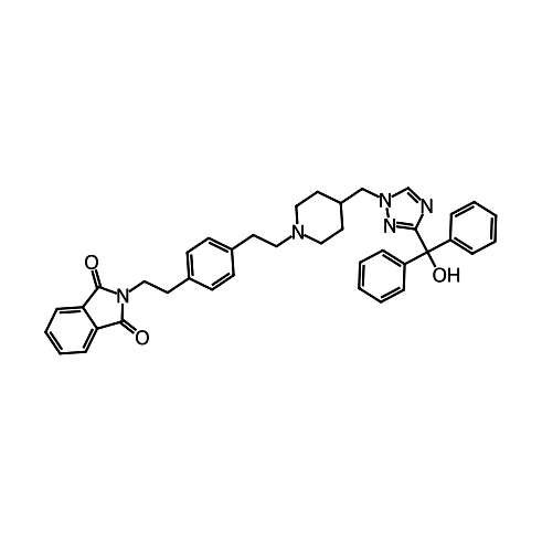 O=C1c2ccccc2C(=O)N1CCc1ccc(CCN2CCC(Cn3cnc(C(O)(c4ccccc4)c4ccccc4)n3)CC2)cc1